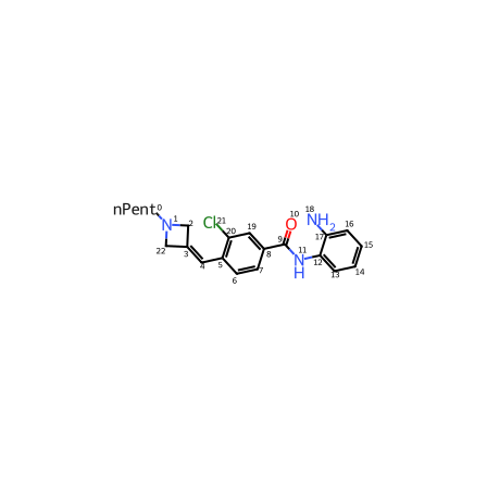 CCCCCN1CC(=Cc2ccc(C(=O)Nc3ccccc3N)cc2Cl)C1